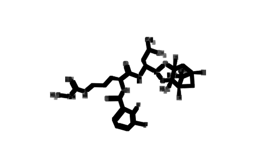 CNC(=N)NCCC[C@H](NC(=O)c1cccc(F)c1F)C(=O)N[C@@H](CC(C)C)B1O[C@@H]2C[C@@H]3C[C@@H](C3(C)C)[C@]2(C)O1